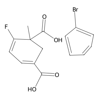 Brc1ccccc1.CC1(C(=O)O)CC(C(=O)O)=CC=C1F